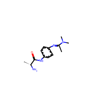 C/C(=N\c1ccc(NC(=O)[C@@H](C)N)cc1)N(C)C